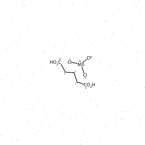 O=C(O)CCCC(=O)O.[Cl][Mo]([Cl])[Cl]